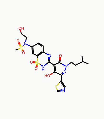 CC(C)CCn1nc(-c2cncs2)c(O)c(C2=Nc3ccc(N(CCO)S(C)(=O)=O)cc3S(=O)(=O)N2)c1=O